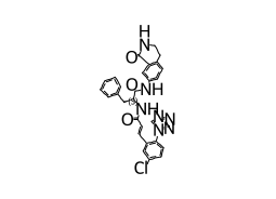 O=C(C=Cc1cc(Cl)ccc1-n1cnnn1)N[C@@H](Cc1ccccc1)C(=O)Nc1ccc2c(c1)C(=O)NCC2